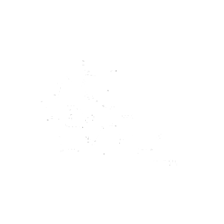 COC(=O)OCOc1c2n(ccc1=O)N(C1c3ccsc3SCc3c1ccc(F)c3F)[C@@H]1COCCN1C2=O